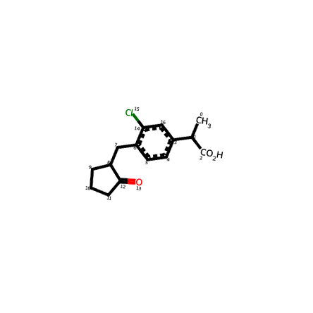 CC(C(=O)O)c1ccc(CC2CCCC2=O)c(Cl)c1